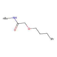 CCCCNC(=O)COCCCC(C)C